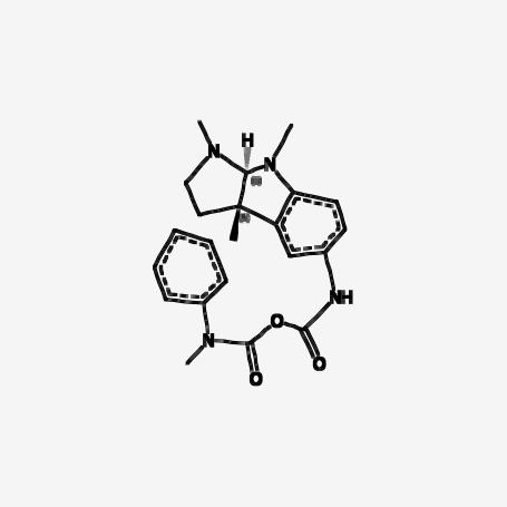 CN(C(=O)OC(=O)Nc1ccc2c(c1)[C@]1(C)CCN(C)[C@H]1N2C)c1ccccc1